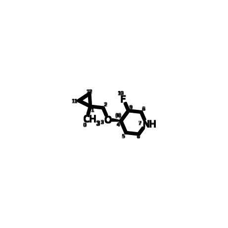 CC1(CO[C@@H]2CCNCC2F)CC1